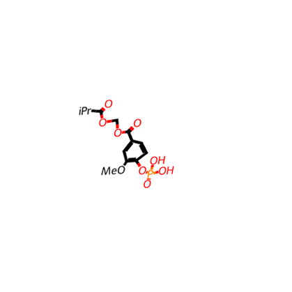 COc1cc(C(=O)OCOC(=O)C(C)C)ccc1OP(=O)(O)O